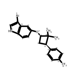 CC(=O)c1c[nH]c2ccc(O[C@@H]3C[C@H](c4ccc(C(F)(F)F)cc4)C3(C)C)cc12